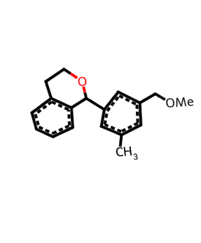 COCc1cc(C)cc(C2OCCc3ccccc32)c1